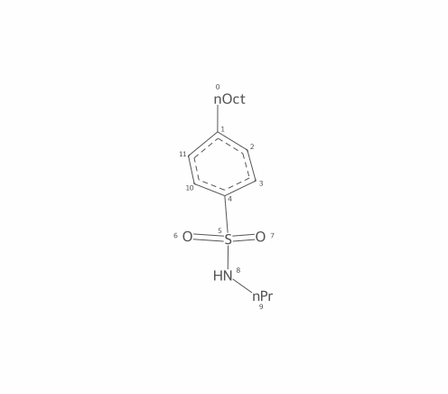 CCCCCCCCc1ccc(S(=O)(=O)NCCC)cc1